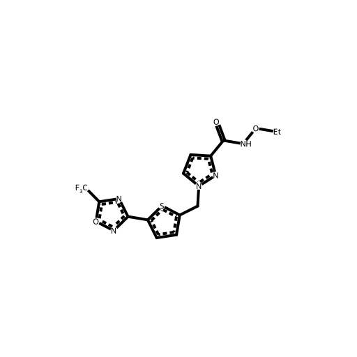 CCONC(=O)c1ccn(Cc2ccc(-c3noc(C(F)(F)F)n3)s2)n1